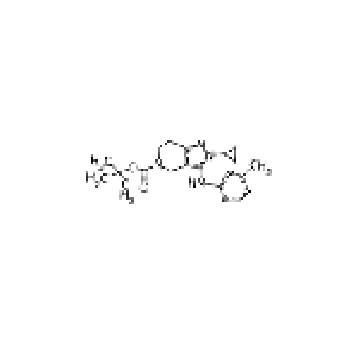 Cc1cccc(Nc2c3c(nn2C2CC2)CCN(C(=O)OC(C)(C)C)C3)c1